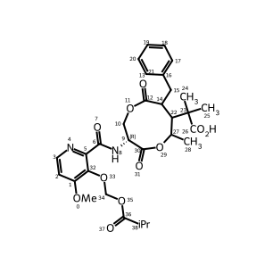 COc1ccnc(C(=O)N[C@@H]2COC(=O)C(Cc3ccccc3)C(C(C)(C)C(=O)O)C(C)OC2=O)c1OCOC(=O)C(C)C